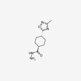 Cc1noc([C@H]2CC[C@H](C(=O)NN)CC2)n1